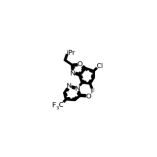 CC(C)Cc1nc2c(-n3ncc(C(F)(F)F)cc3=O)c(F)cc(Cl)c2o1